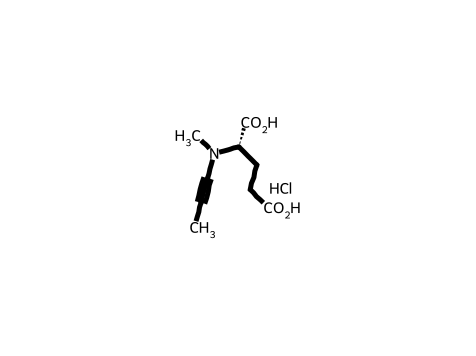 CC#CN(C)[C@@H](CCC(=O)O)C(=O)O.Cl